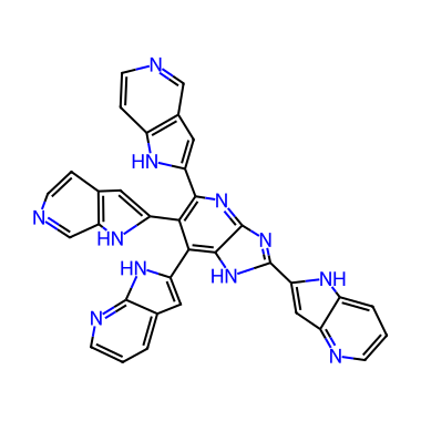 c1cnc2[nH]c(-c3c(-c4cc5ccncc5[nH]4)c(-c4cc5cnccc5[nH]4)nc4nc(-c5cc6ncccc6[nH]5)[nH]c34)cc2c1